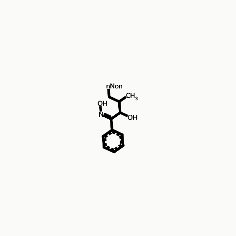 CCCCCCCCCCC(C)C(O)C(=NO)c1ccccc1